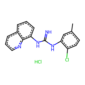 Cc1ccc(Cl)c(NC(=N)Nc2cccc3cccnc23)c1.Cl